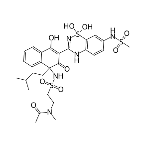 CC(=O)N(C)CCS(=O)(=O)NC1(CCC(C)C)C(=O)C(C2=NS(O)(O)c3cc(NS(C)(=O)=O)ccc3N2)=C(O)c2ccccc21